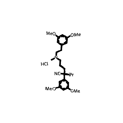 COc1cc(CCN(C)CCCC(C#N)(c2cc(OC)cc(OC)c2)C(C)C)cc(OC)c1.Cl